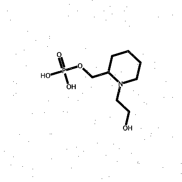 O=P(O)(O)OCC1CCCCN1CCO